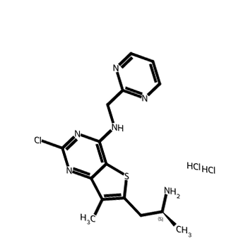 Cc1c(C[C@H](C)N)sc2c(NCc3ncccn3)nc(Cl)nc12.Cl.Cl